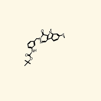 CSc1ccc2c3cnn(Cc4cccc(NC(=O)OC(C)(C)C)c4)c(=O)c3n(C)c2c1